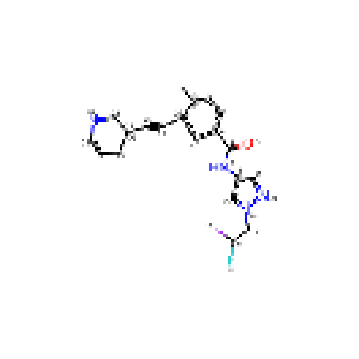 Cc1ccc(C(=O)Nc2cnn(CC(F)I)c2)cc1C#C[C@@H]1C=NC=CC1